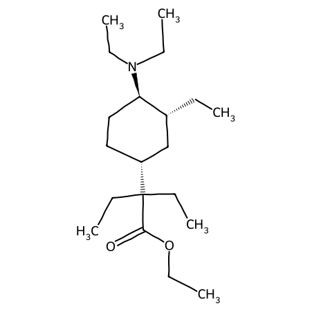 CCOC(=O)C(CC)(CC)[C@@H]1CC[C@@H](N(CC)CC)[C@H](CC)C1